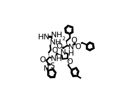 Cc1ccc(CO[C@@H]2C[C@@H](C(=O)N[C@@H](CCCNC(=N)N)C(=O)c3nc4ccccc4s3)N(C(=O)[C@@H](CCc3ccccc3)NC(=O)OCc3ccccc3)C2)cc1